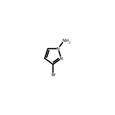 Nn1ccc(Br)n1